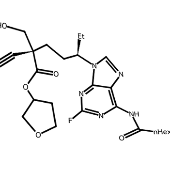 C#C[C@@](CO)(CC[C@@H](CC)n1cnc2c(NC(=O)CCCCCC)nc(F)nc21)C(=O)OC1CCOC1